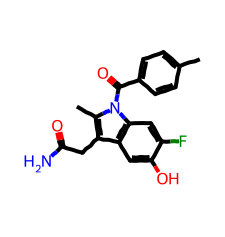 Cc1ccc(C(=O)n2c(C)c(CC(N)=O)c3cc(O)c(F)cc32)cc1